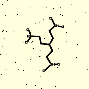 Cl[SiH](Cl)CCB(CC[SiH](Cl)Cl)CC[SiH](Cl)Cl